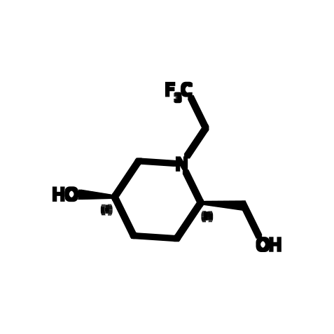 OC[C@H]1CC[C@@H](O)CN1CC(F)(F)F